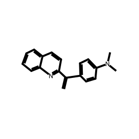 C=C(c1ccc(N(C)C)cc1)c1ccc2ccccc2n1